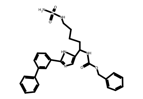 NS(=O)(=O)NCCCCC(NC(=O)OCc1ccccc1)c1cnc(-c2cccc(-c3ccccc3)c2)[nH]1